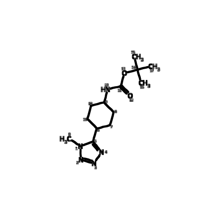 Cn1nnnc1C1CCC(NC(=O)OC(C)(C)C)CC1